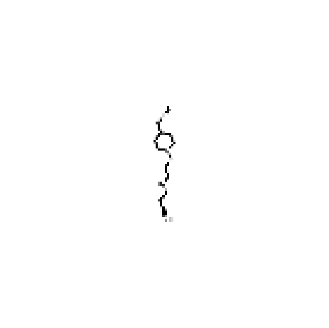 C#CCCNCCON1CCC(N=[N+]=[N-])CC1